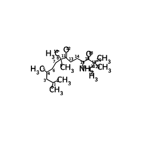 CC(C)CC(C)CCC(C)(C)C(=O)CCC(N)C(=O)C(C)(C)C